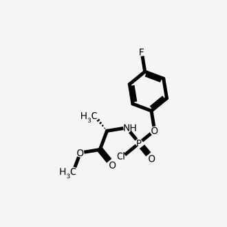 COC(=O)[C@H](C)NP(=O)(Cl)Oc1ccc(F)cc1